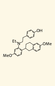 CCN(CCc1ccc(O)cc1)c1cc(OC)ccc1C1CCc2cc(OC)ccc2C1